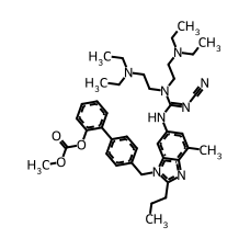 CCCc1nc2c(C)cc(NC(=NC#N)N(CCN(CC)CC)CCN(CC)CC)cc2n1Cc1ccc(-c2ccccc2OC(=O)OC)cc1